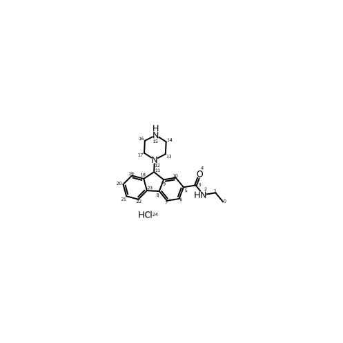 CCNC(=O)c1ccc2c(c1)C(N1CCNCC1)c1ccccc1-2.Cl